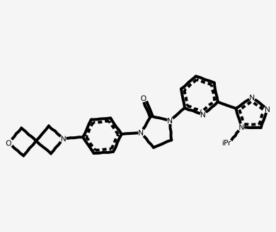 CC(C)n1cnnc1-c1cccc(N2CCN(c3ccc(N4CC5(COC5)C4)cc3)C2=O)n1